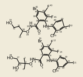 CC(C)(ONC(=O)c1cc(Br)c(F)c(F)c1Nc1ccc(I)cc1Cl)C(O)CO.CC(CCO)ONC(=O)c1cc(Br)c(F)c(F)c1Nc1ccc(I)cc1Cl